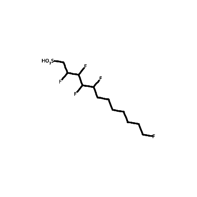 O=S(=O)(O)CC(F)C(F)C(F)C(F)CCCCCCCF